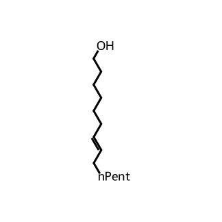 CCCCCCC=CCCCCCCO